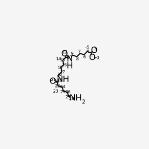 COC(=O)[C@@H](C)CCCCNC(=O)[C@@H](C)CCCCNC(=O)[C@@H](C)CCCCN